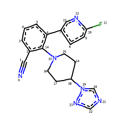 N#Cc1cccc(-c2ccc(F)nc2)c1N1CCC(n2cncn2)CC1